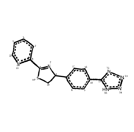 c1ccc(C2=NC(c3ccc(-c4nnn[nH]4)cc3)CS2)nc1